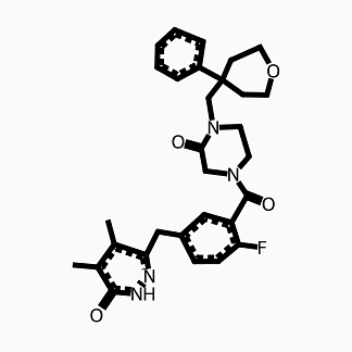 Cc1c(Cc2ccc(F)c(C(=O)N3CCN(CC4(c5ccccc5)CCOCC4)C(=O)C3)c2)n[nH]c(=O)c1C